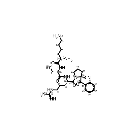 CC(C)C[C@H](NC(=O)[C@@H](N)CCCCN)C(=O)N[C@@H](CCCNC(=N)N)C(=O)N1CCCC1(C#N)C(=O)c1ccccc1